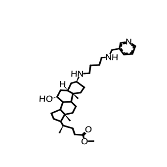 COC(=O)CC[C@@H](C)C1CCC2C3C(CC[C@@]21C)[C@@]1(C)CC[C@H](NCCCCNCc2cccnc2)C[C@@H]1C[C@H]3O